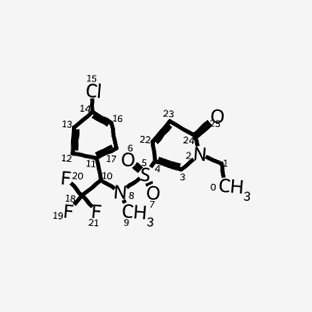 CCn1cc(S(=O)(=O)N(C)C(c2ccc(Cl)cc2)C(F)(F)F)ccc1=O